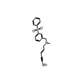 CN(CC=CC#CC(C)(C)C)Cc1cccc(S(=O)(=O)c2ccccc2)c1